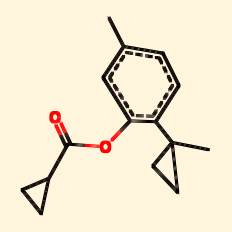 Cc1ccc(C2(C)CC2)c(OC(=O)C2CC2)c1